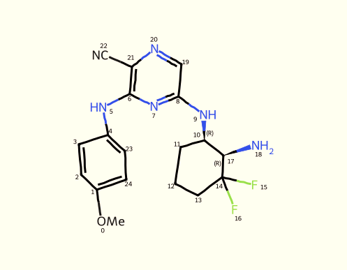 COc1ccc(Nc2nc(N[C@@H]3CCCC(F)(F)[C@@H]3N)cnc2C#N)cc1